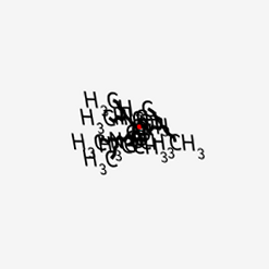 CCCCN(CCCC)CCC[Si](OC)(OC)O[Si](CCCN(CCCC)CCCC)(OC)O[Si](CCCN(CCCC)CCCC)(OC)OC